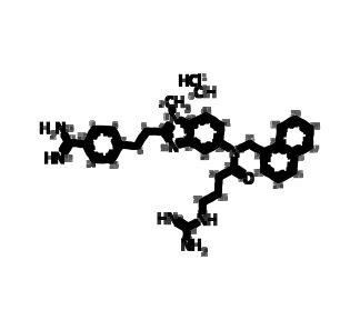 Cl.Cl.Cn1c(CCc2ccc(C(=N)N)cc2)nc2cc(N(Cc3cccc4ccccc34)C(=O)CCCNC(=N)N)ccc21